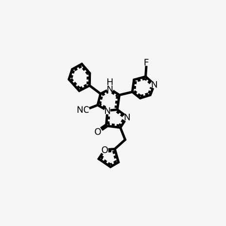 N#Cc1c(-c2ccccc2)[nH]c(-c2ccnc(F)c2)c2nc(Cc3ccco3)c(=O)n1-2